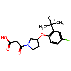 CC(C)(C)c1cc(F)ccc1OC1CCN(C(=O)CC(=O)O)C1